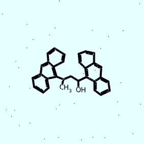 CC(CC(O)c1c2ccccc2cc2ccccc12)c1c2ccccc2cc2ccccc12